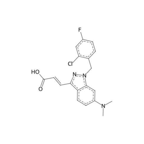 CN(C)c1ccc2c(/C=C/C(=O)O)nn(Cc3ccc(F)cc3Cl)c2c1